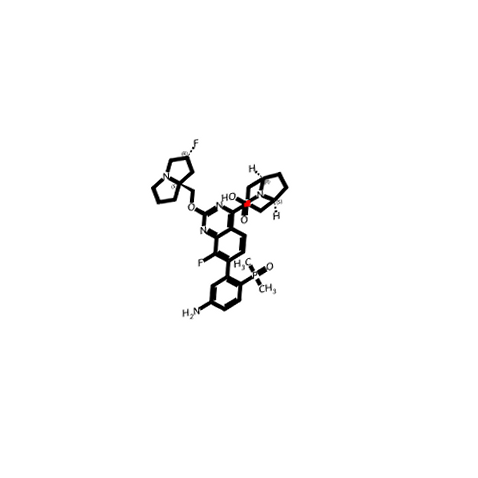 CP(C)(=O)c1ccc(N)cc1-c1ccc2c(N3C[C@H]4CC[C@@H](C3)N4C(=O)O)nc(OC[C@@]34CCCN3C[C@H](F)C4)nc2c1F